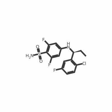 CC[C@H](Nc1cc(F)c(S(N)(=O)=O)c(F)c1)c1cc(F)ccc1Cl